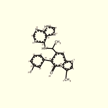 Cc1csc2cc(C(C)Nc3ncnc4[nH]cnc34)c(-c3cccc(F)c3)c(=O)n12